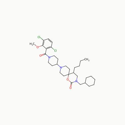 CCCCC1CN(CC2CCCCC2)C(=O)OC12CCN(C1CCN(C(=O)c3c(Cl)ccc(Cl)c3OC)CC1)CC2